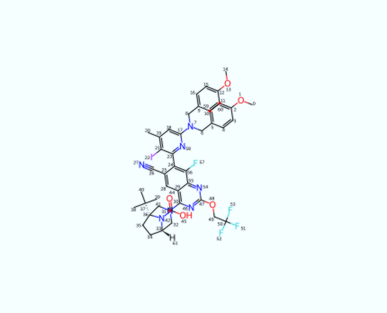 COc1ccc(CN(Cc2ccc(OC)cc2)c2cc(C)c(I)c(-c3c(C#N)cc4c(N5C[C@@H]6CC[C@@](C(C)(C)C)(C5)N6C(=O)O)nc(OCC(F)(F)F)nc4c3F)n2)cc1